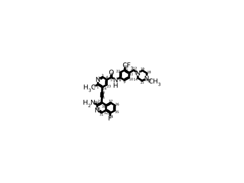 Cc1ncc(C(=O)Nc2ccc(CN3CCN(C)CC3)c(C(F)(F)F)c2)cc1C#Cc1c(N)ncc2c(F)cccc12